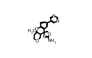 C[C@]12CCOCC1C1(COC(N)=N1)c1cc(-c3cncnc3)ccc1O2